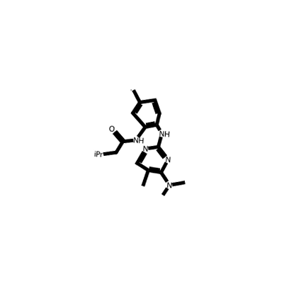 [CH2]c1ccc(Nc2ncc(C)c(N(C)C)n2)c(NC(=O)CC(C)C)c1